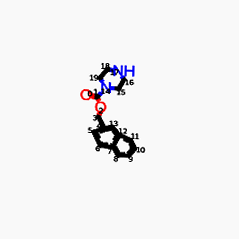 O=C(OCc1ccc2ccccc2c1)N1CCNCC1